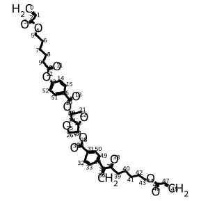 C=CC(=O)OCCCCCC(=O)Oc1ccc(C(=O)O[C@@H]2COC3C2OC[C@@H]3OC(=O)c2ccc(C(=C)C(=O)CCCCCOC(=O)C=C)cc2)cc1